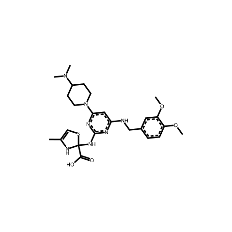 COc1ccc(CNc2cc(N3CCC(N(C)C)CC3)nc(NC3(C(=O)O)NC(C)=CS3)n2)cc1OC